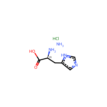 Cl.N.N[C@@H](Cc1cnc[nH]1)C(=O)O